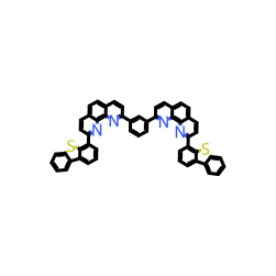 c1cc(-c2ccc3ccc4ccc(-c5cccc6c5sc5ccccc56)nc4c3n2)cc(-c2ccc3ccc4ccc(-c5cccc6c5sc5ccccc56)nc4c3n2)c1